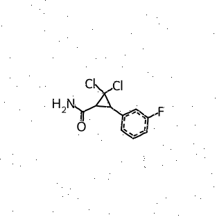 NC(=O)C1C(c2cccc(F)c2)C1(Cl)Cl